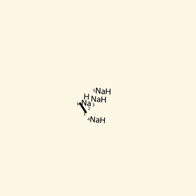 [CH2]C.[NaH].[NaH].[NaH].[NaH]